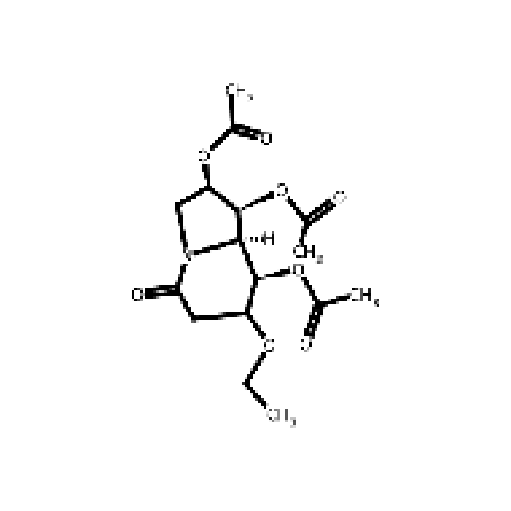 CCOC1CC(=O)N2C[C@@H](OC(C)=O)[C@@H](OC(C)=O)[C@H]2[C@H]1OC(C)=O